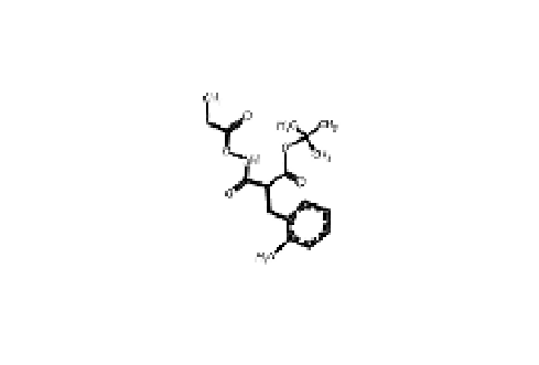 CCC(=O)ONC(=O)C(Cc1ccccc1N)C(=O)OC(C)(C)C